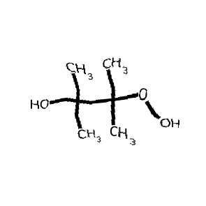 CC(C)(O)C(C)(C)OO